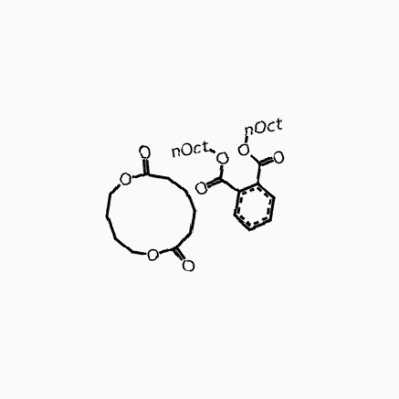 CCCCCCCCOC(=O)c1ccccc1C(=O)OCCCCCCCC.O=C1CCCCC(=O)OCCCCO1